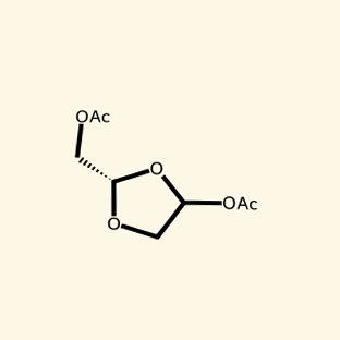 CC(=O)OC[C@H]1OCC(OC(C)=O)O1